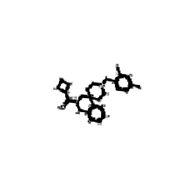 Cc1ccc(CN2CCC3(CC2)CN(C(=O)C2CCC2)Cc2ccccc23)c(C)c1